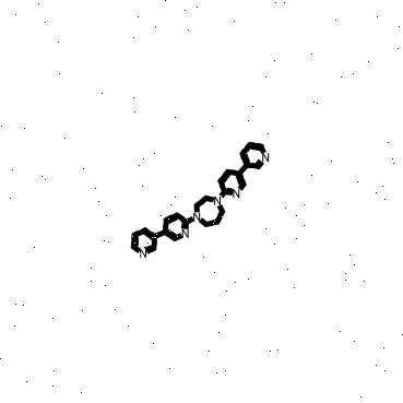 c1cncc(-c2ccc(N3CCCN(c4ccc(-c5cccnc5)cn4)CC3)nc2)c1